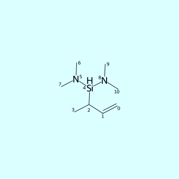 C=CC(C)[SiH](N(C)C)N(C)C